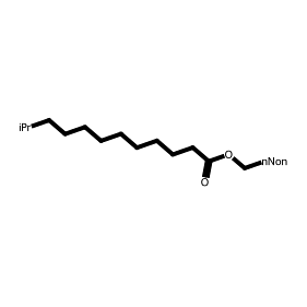 CCCCCCCCCCOC(=O)CCCCCCCCCC(C)C